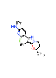 CC(C)Nc1ccc(-c2nn3c(c2C(C)C)O[C@@H](C)CC3)c(F)n1